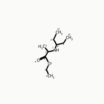 CCOC(=O)C(C)NC(CC)CC